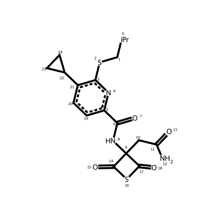 CC(C)CSc1nc(C(=O)NC2(CC(N)=O)C(=O)SC2=O)ccc1C1CC1